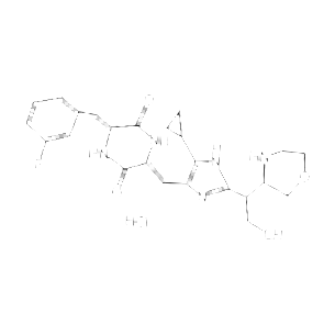 CCC(c1nc(/C=c2\[nH]c(=O)/c(=C/c3cccc(F)c3)[nH]c2=O)c(C2CC2)[nH]1)C1COCCN1.Cl